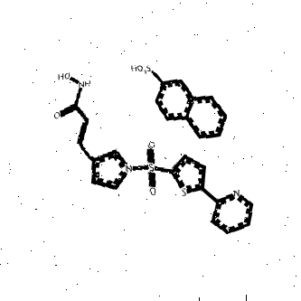 O=C(C=Cc1ccn(S(=O)(=O)c2ccc(-c3ccccn3)s2)c1)NO.O=S(=O)(O)c1ccc2ccccc2c1